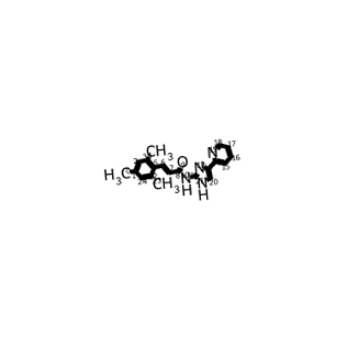 Cc1cc(C)c(C=CC(=O)Nc2nc(-c3ccccn3)c[nH]2)c(C)c1